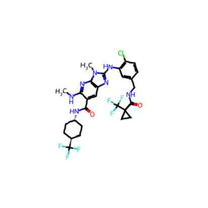 CNc1nc2c(cc1C(=O)N[C@H]1CC[C@H](C(F)(F)F)CC1)nc(Nc1cc(CNC(=O)C3(C(F)(F)F)CC3)ccc1Cl)n2C